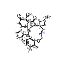 CCCC1CC2(/C=C/COc3c(ccc(F)c3F)C(c3ccsc3C)N3CN2C(=O)c2c(O)c(=O)ccn23)C1